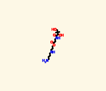 CC(C)(CO)[C@@H](O)C(=O)NCCC(=O)OCCCNCCCCN